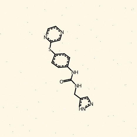 O=C(NCc1cn[nH]c1)Nc1ccc(Sc2cnccn2)cc1